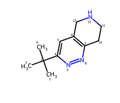 CC(C)(C)c1cc2c(nn1)CCNC2